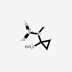 CCOC(=O)C1(N(C)[SH](=O)=O)CC1